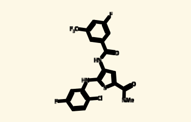 CNC(=O)c1cc(NC(=O)c2cc(F)cc(C(F)(F)F)c2)c(Nc2cc(F)ccc2Cl)s1